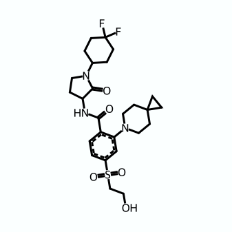 O=C(NC1CCN(C2CCC(F)(F)CC2)C1=O)c1ccc(S(=O)(=O)CCO)cc1N1CCC2(CC1)CC2